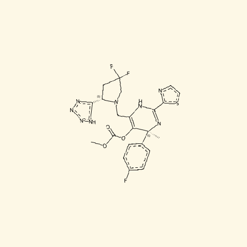 COC(=O)OC1=C(CN2CC(F)(F)C[C@H]2c2nnn[nH]2)NC(c2nccs2)=N[C@@]1(C)c1ccc(F)cc1